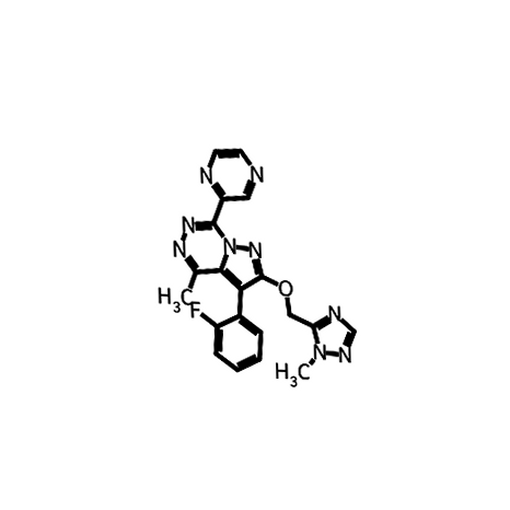 Cc1nnc(-c2cnccn2)n2nc(OCc3ncnn3C)c(-c3ccccc3F)c12